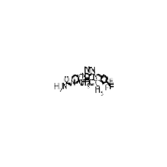 CC(C)N(Cc1ccc(C(F)(F)F)cc1)c1ncnc2c1ccn2C[C@H]1CCN(CC(N)=O)C[C@@H]1O